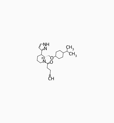 C#CCCC(=O)N1CCCC(c2cc[nH]n2)[C@@H]1COC1CCC(C(C)C)CC1